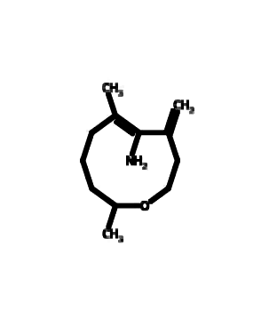 C=C1CCOC(C)CCC/C(C)=C/1N